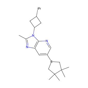 Cc1nc2cc(B3CC(C)(C)C(C)(C)C3)cnc2n1C1CC(C(C)C)C1